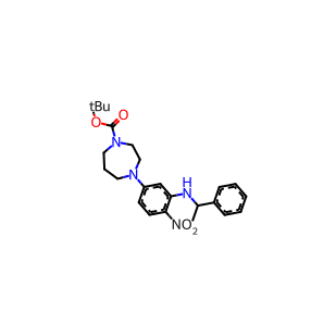 CC(Nc1cc(N2CCCN(C(=O)OC(C)(C)C)CC2)ccc1[N+](=O)[O-])c1ccccc1